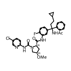 CO[C@@H]1C[C@H](C(=O)Nc2cc(C(CCC3CC3)(NC(C)=O)c3ccccc3)ccc2F)N(C(=O)Nc2ccc(Cl)cn2)C1